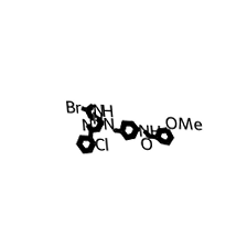 COc1cccc(C(=O)Nc2ccc(CNc3cc(-c4ccccc4Cl)nc4c(Br)cnn34)cc2)c1